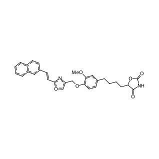 COc1cc(CCCCC2OC(=O)NC2=O)ccc1OCc1coc(C=Cc2ccc3ccccc3c2)n1